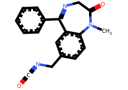 CN1C(=O)CN=C(c2ccccc2)c2cc(CN=C=O)ccc21